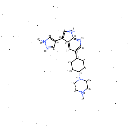 CN1CCN([C@H]2CC[C@H](c3cnc4[nH]cc(-c5cnn(C)c5)c4c3)CC2)CC1